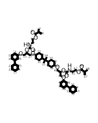 C=C(C)C(=O)OCCNC(=O)OC(COc1cccc(-c2ccccc2)c1)COC1CCC(C(C)(C)C2CCC(OCC(COc3cccc(-c4ccccc4)c3)OC(=O)NCCOC(=O)C(=C)C)CC2)CC1